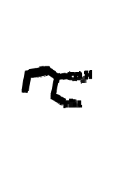 C/C=C\C(CCCCC)C(=O)O